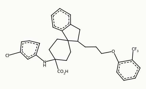 O=C(O)C1(Nc2cccc(Cl)c2)CCC2(CC1)c1ccccc1CC2CCCOc1ccccc1C(F)(F)F